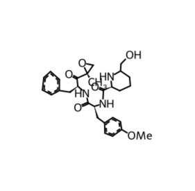 COc1ccc(C[C@H](NC(=O)[C@@H]2CCCC(CO)N2)C(=O)N[C@@H](Cc2ccccc2)C(=O)[C@@]2(C)CO2)cc1